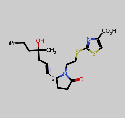 CC(C)CCC(C)(O)C/C=C/[C@H]1CCC(=O)N1CCSc1nc(C(=O)O)cs1